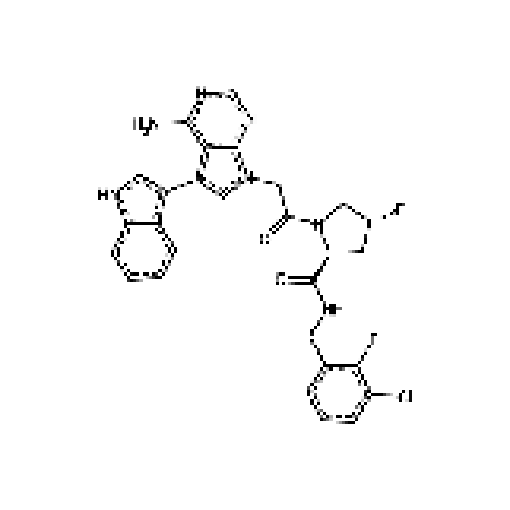 Nc1ncnc2c1c(-c1c[nH]c3ccccc13)cn2CC(=O)N1C[C@H](F)C[C@H]1C(=O)NCc1cccc(Cl)c1F